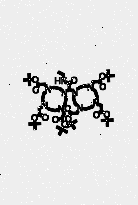 CCNC(=O)C(N1CCN(CC(=O)OC(C)(C)C)CCN(CC(=O)OC(C)(C)C)CCN(CC(=O)OC(C)(C)C)CC1)N1CCN(CC(=O)OC(C)(C)C)CCN(CC(=O)OC(C)(C)C)CCN(CC(=O)OC(C)(C)C)CC1